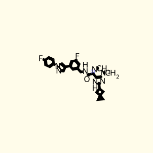 C=Nc1nc(C2CC3(CC3)C2)[nH]c1/C(=N\C)C(=O)NCc1cc(F)cc(-c2cnn(-c3ccc(F)cc3)c2)c1